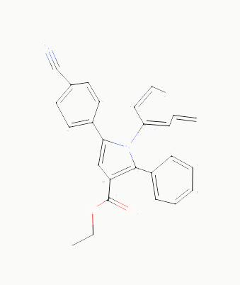 C=C/C=C(\C=C/C)n1c(-c2ccc(C#N)cc2)cc(C(=O)OCC)c1-c1ccccc1